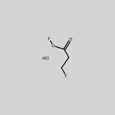 Cl.O=C(CCF)OF